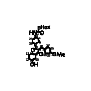 CCCCCCC(=O)Nc1ccc(C2Oc3ccc(O)cc3C(=O)C2=Cc2ccc(OC)cc2)cc1